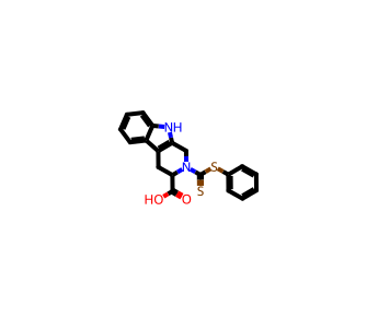 O=C(O)C1Cc2c([nH]c3ccccc23)CN1C(=S)Sc1ccccc1